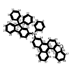 c1ccc(N(c2ccc3c(c2)C(c2ccccc2)(c2ccccc2)c2ccccc2-3)c2ccc3c4ccccc4c4c(ccc5oc6ccccc6c54)c3c2)cc1